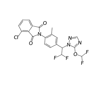 Cc1cc(C(C(F)F)n2ncnc2OC(F)F)ccc1N1C(=O)c2cccc(Cl)c2C1=O